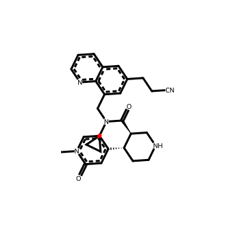 Cn1ccc([C@H]2CCNC[C@@H]2C(=O)N(Cc2cc(CCC#N)cc3cccnc23)C2CC2)cc1=O